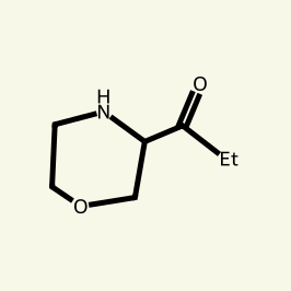 CCC(=O)C1COCCN1